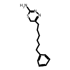 NC1=NN=C(CCCCCCc2ccccc2)CS1